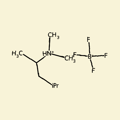 CC(C)CC(C)[NH+](C)C.F[B-](F)(F)F